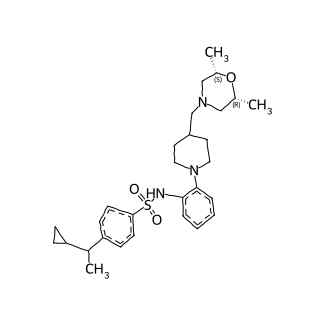 CC(c1ccc(S(=O)(=O)Nc2ccccc2N2CCC(CN3C[C@@H](C)O[C@@H](C)C3)CC2)cc1)C1CC1